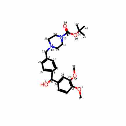 COc1ccc(C(O)c2ccc(CN3CCN(C(=O)OC(C)(C)C)CC3)cc2)cc1OC